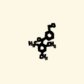 Cc1cc(C)c(C(=O)c2cccc(P=O)c2)c(C)c1